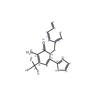 C=C/C=C\C(=C/C)Cn1c(-c2nccs2)cc(C(F)(F)F)c(N)c1=O